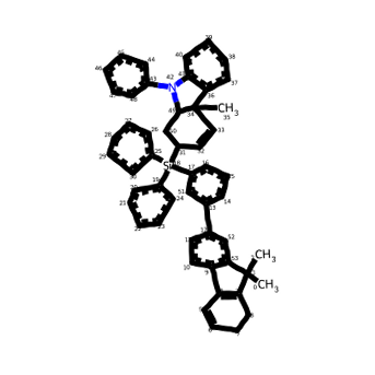 CC1(C)C2=C(C=CCC2)c2ccc(-c3cccc([Si](c4ccccc4)(c4ccccc4)C4C=CC5(C)c6ccccc6N(c6ccccc6)C5C4)c3)cc21